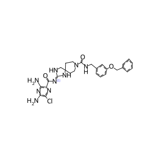 Nc1nc(N)c(C(=O)/N=C2\NCC3(CCN(C(=O)NCc4cccc(OCc5ccccc5)c4)CC3)N2)nc1Cl